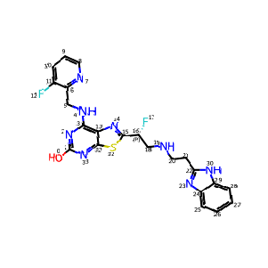 Oc1nc(NCc2ncccc2F)c2nc([C@H](F)CNCCc3nc4ccccc4[nH]3)sc2n1